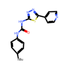 CCCCc1ccc(NC(=O)Nc2nnc(-c3ccncc3)s2)cc1